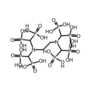 O=P(O)(O)C(N(CCN(C(P(=O)(O)O)P(=O)(O)O)C(P(=O)(O)O)P(=O)(O)O)C(P(=O)(O)O)P(=O)(O)O)P(=O)(O)O